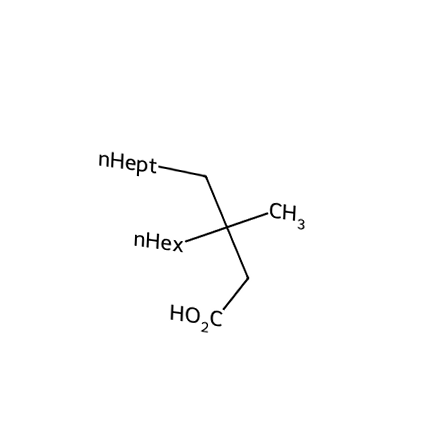 CCCCCCCCC(C)(CCCCCC)CC(=O)O